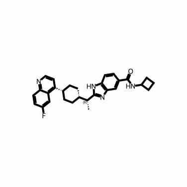 C[C@@H](c1nc2cc(C(=O)NC3CCC3)ccc2[nH]1)[C@H]1CC[C@@H](c2ccnc3ccc(F)cc32)CC1